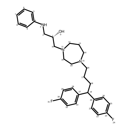 O[C@@H](CNc1ccccc1)CN1CCCN(CCCC(c2ccc(F)cc2)c2ccc(F)cc2)CC1